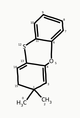 CC1(C)C=C2Oc3ccccc3SC2=CC1